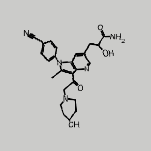 Cc1c(C(=O)CN2CCC(O)CC2)c2ncc(CC(O)C(N)=O)cc2n1-c1ccc(C#N)cc1